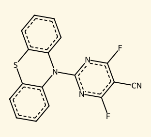 N#Cc1c(F)nc(N2c3ccccc3Sc3ccccc32)nc1F